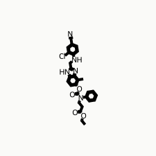 CCOC(=O)CCN(C(=O)Oc1ccc2[nH]c(CNc3ccc(C#N)cc3Cl)nc2c1C)c1ccccc1